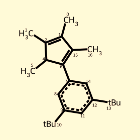 CC1=C(C)C(C)C(c2cc(C(C)(C)C)cc(C(C)(C)C)c2)=C1C